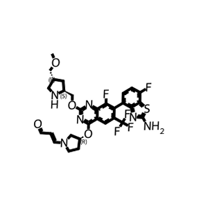 COC[C@H]1CN[C@H](COc2nc(O[C@@H]3CCN(C=CC=O)C3)c3cc(C(F)(F)F)c(-c4ccc(F)c5sc(N)nc45)c(F)c3n2)C1